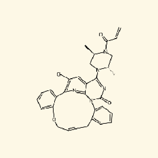 C=CC(=O)N1C[C@H](C)N(c2nc(=O)n3c4nc(c(Cl)cc24)-c2ccccc2OC/C=C/Cc2ccccc2-3)C[C@H]1C